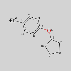 C[CH]c1ccc(OC2CCCC2)cc1